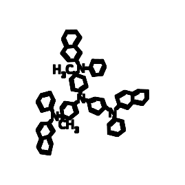 CC1(N(c2ccccc2)c2ccc3ccccc3c2)C=CC(N(C2=CCC(C)(N(c3ccccc3)c3ccc4ccccc4c3)C=C2)c2ccc(N(c3ccccc3)c3ccc4ccccc4c3)cc2)=CC1